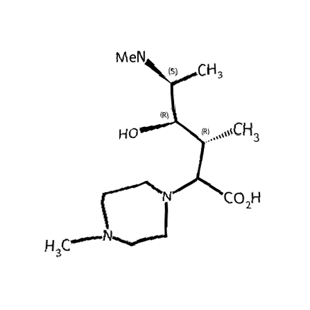 CN[C@@H](C)[C@H](O)[C@H](C)C(C(=O)O)N1CCN(C)CC1